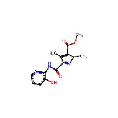 COC(=O)C1=C(C)C(C(=O)Nc2ncccc2O)=N[C@@H]1C